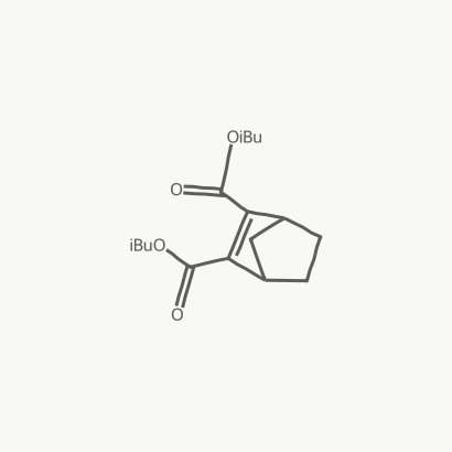 CC(C)COC(=O)C1=C(C(=O)OCC(C)C)C2CCC1C2